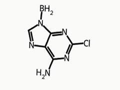 Bn1cnc2c(N)nc(Cl)nc21